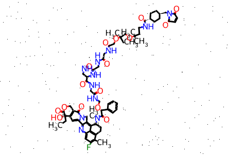 CCC(C)(COC(C)(C)CCNC(=O)[C@H]1CC[C@H](CN2C(=O)C=CC2=O)CC1)OCC(=O)NCC(=O)NCC(=O)NC(CN)C(=O)NCC(=O)NCOC(C(=O)N(C)[C@H]1CCc2c(C)c(F)cc3nc4c(c1c23)Cn1c-4cc2c(c1=O)COC(=O)[C@]2(O)CC)c1ccccc1